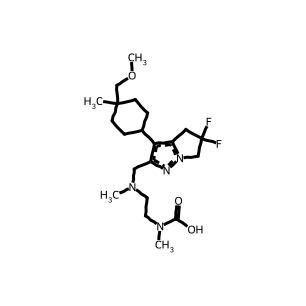 COCC1(C)CCC(c2c(CN(C)CCN(C)C(=O)O)nn3c2CC(F)(F)C3)CC1